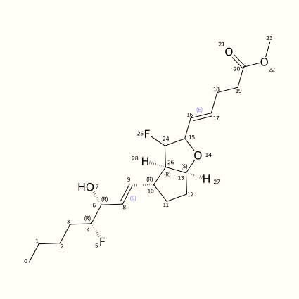 CCCC[C@@H](F)[C@H](O)/C=C/[C@H]1CC[C@@H]2OC(/C=C/CCC(=O)OC)C(F)[C@@H]21